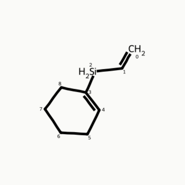 C=C[SiH2]C1=CCCCC1